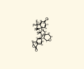 N#CC1(N2CC3(CCOCC3)N(c3ccc4c(c3)COC4=O)C2=S)C=CC(=O)C=C1C(F)(F)F